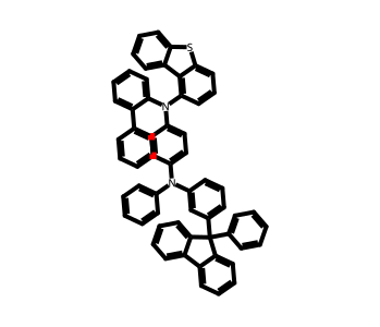 c1ccc(-c2ccccc2N(c2ccc(N(c3ccccc3)c3cccc(C4(c5ccccc5)c5ccccc5-c5ccccc54)c3)cc2)c2cccc3sc4ccccc4c23)cc1